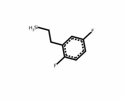 Fc1ccc(F)c(CC[SiH3])c1